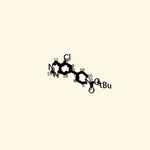 CC(C)(C)OC(=O)N1CC=C(c2cc(Cl)c3cncnc3c2)CC1